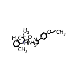 C=C(C)/C(=C\C1=CCCC=C1C)C(=O)Nc1nc(-c2ccc(OCCC)cc2)cs1